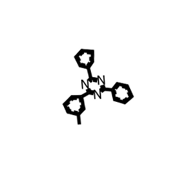 Cc1cccc(-c2nc(-c3ccccc3)nc(-c3ccccc3)n2)c1